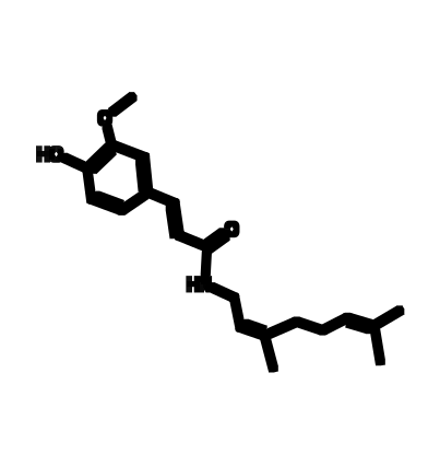 COc1cc(C=CC(=O)NCC=C(C)CCC=C(C)C)ccc1O